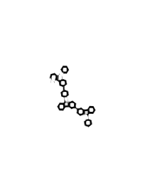 c1ccc(-n2c3ccccc3c3cc(-c4ccc5c(c4)c4ccccc4n5-c4ccc(-c5ccc6c(c5)c5ncccc5n6-c5ccccc5)cc4)ccc32)cc1